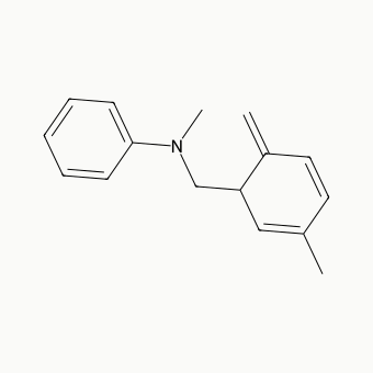 C=C1C=CC(C)=CC1CN(C)c1ccccc1